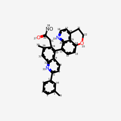 Cc1cccc(-c2ccc3c(-c4ccc5c6c(ccnc46)CCO5)c(CC(=O)N=O)c(C)cc3n2)c1